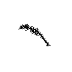 Cc1c(C)c2c(c(C)c1OC(=O)CCC(=O)OC(C)(C)COC(C)C)CCC(CCCCCCCCCCCC(C)C)O2